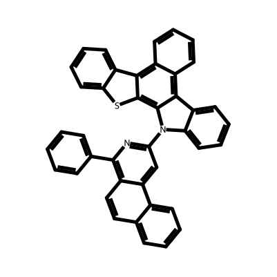 c1ccc(-c2nc(-n3c4ccccc4c4c5ccccc5c5c6ccccc6sc5c43)cc3c2ccc2ccccc23)cc1